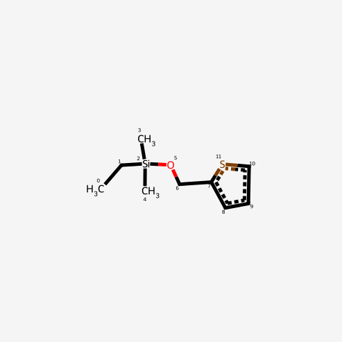 CC[Si](C)(C)OCc1cccs1